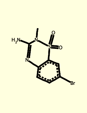 CN1C(N)=Nc2ccc(Br)cc2S1(=O)=O